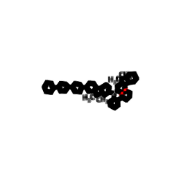 CC1(C)c2ccccc2-c2ccc(N(c3ccc4c(c3)C(C)(C)c3cc(-c5ccc(-c6ccc(-c7ccccc7)cc6)cc5)ccc3-4)c3ccccc3-c3ccccc3)cc21